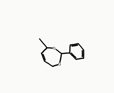 CC1C=CCOC(c2ccccc2)O1